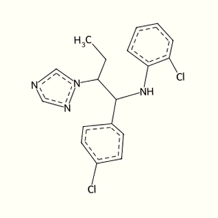 CCC(C(Nc1ccccc1Cl)c1ccc(Cl)cc1)n1cncn1